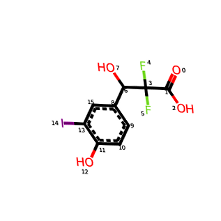 O=C(O)C(F)(F)C(O)c1ccc(O)c(I)c1